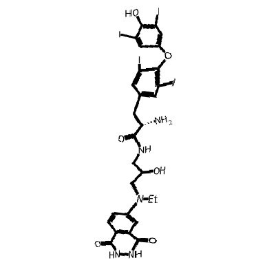 CCN(CC(O)CNC(=O)[C@@H](N)Cc1cc(I)c(Oc2cc(I)c(O)c(I)c2)c(I)c1)c1ccc2c(=O)[nH][nH]c(=O)c2c1